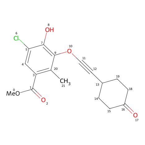 COC(=O)c1cc(Cl)c(O)c(OC#CC2CCC(=O)CC2)c1C